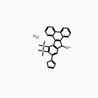 C[Si]1(C)c2c(C3=CC=CC3)cc3c(c2[Si]1(C)C)-c1c(c2ccccc2c2ccccc12)[CH]3[Zr+2].[Cl-].[Cl-]